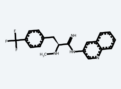 CN[C@@H](Cc1ccc(C(F)(F)F)cc1)C(=N)Nc1cnc2ccccc2c1